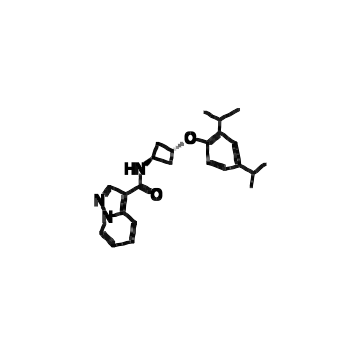 CC(C)c1ccc(O[C@H]2C[C@H](NC(=O)c3cnn4ccccc34)C2)c(C(C)C)c1